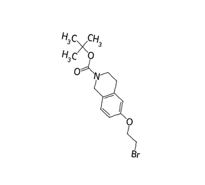 CC(C)(C)OC(=O)N1CCc2cc(OCCBr)ccc2C1